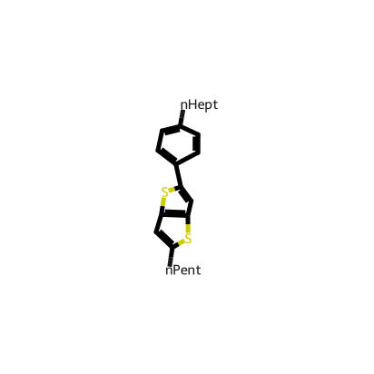 CCCCCCCc1ccc(-c2cc3sc(CCCCC)cc3s2)cc1